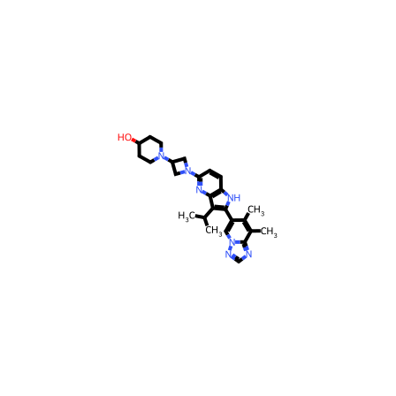 Cc1c(-c2[nH]c3ccc(N4CC(N5CCC(O)CC5)C4)nc3c2C(C)C)cn2ncnc2c1C